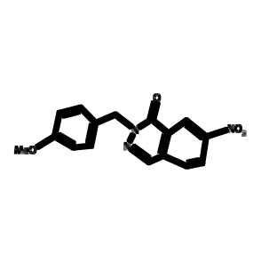 COc1ccc(Cn2ncc3ccc([N+](=O)[O-])cc3c2=O)cc1